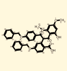 COc1cc(O)c(C(=O)C(C(=O)c2ccc(OCc3ccccc3)cc2)c2cc(OCc3ccccc3)ccc2C(=O)O)c(OC)c1